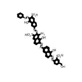 Nc1c(N=Nc2ccc3cc(S(=O)(=O)O)c(N=Nc4ccccc4)c(O)c3c2)c(S(=O)(=O)O)cc2ccc(N=Nc3ccc4c(O)c(N=Nc5ccc(CO)cc5S(=O)(=O)O)ccc4c3)c(O)c12